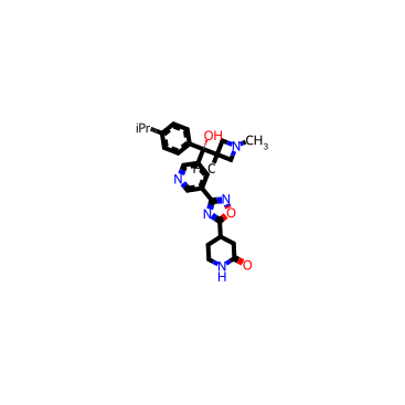 CC(C)c1ccc([C@](O)(c2cncc(-c3noc(C4CCNC(=O)C4)n3)c2)C2(C)CN(C)C2)cc1